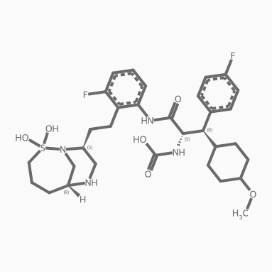 COC1CCC([C@H](c2ccc(F)cc2)[C@H](NC(=O)O)C(=O)Nc2cccc(F)c2CC[C@H]2CN[C@@H]3CCCS(O)(O)N2C3)CC1